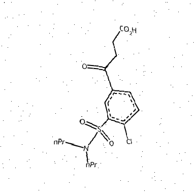 CCCN(CCC)S(=O)(=O)c1cc(C(=O)CCC(=O)O)ccc1Cl